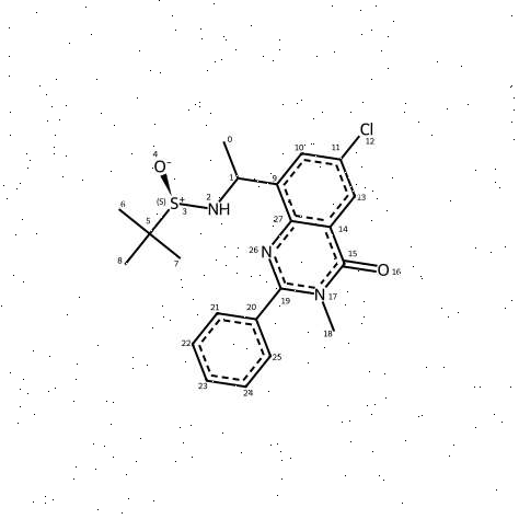 CC(N[S@+]([O-])C(C)(C)C)c1cc(Cl)cc2c(=O)n(C)c(-c3ccccc3)nc12